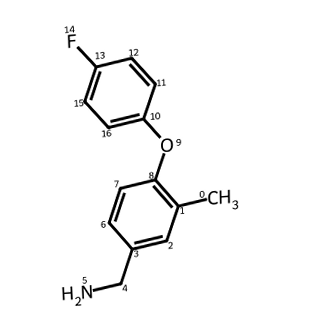 Cc1cc(CN)ccc1Oc1ccc(F)cc1